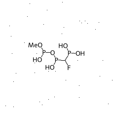 COP(O)OP(O)C(F)P(O)O